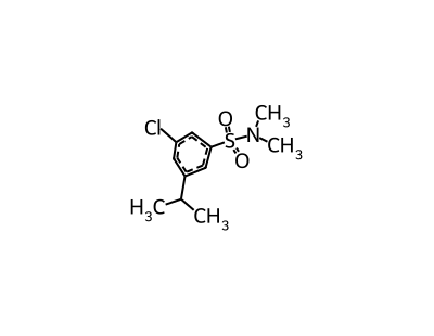 CC(C)c1cc(Cl)cc(S(=O)(=O)N(C)C)c1